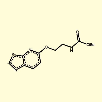 CC(C)COC(=O)NCCOc1ccc2n[c]sc2n1